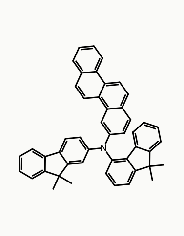 CC1(C)c2ccccc2-c2ccc(N(c3ccc4ccc5c6ccccc6ccc5c4c3)c3cccc4c3-c3ccccc3C4(C)C)cc21